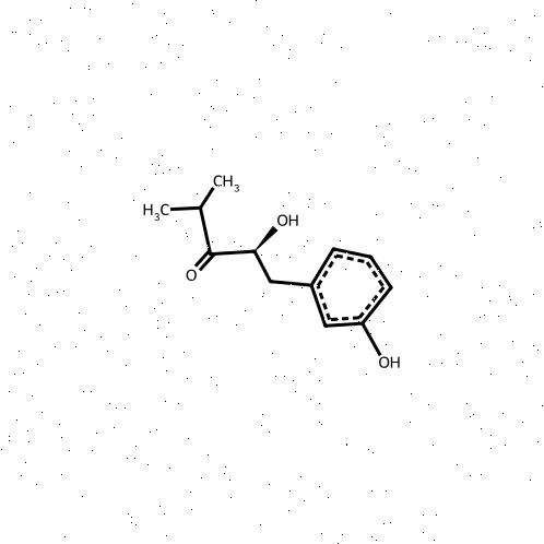 CC(C)C(=O)[C@@H](O)Cc1cccc(O)c1